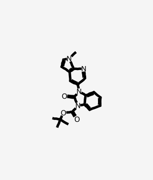 Cn1ccc2cc(-n3c(=O)n(C(=O)OC(C)(C)C)c4ccccc43)cnc21